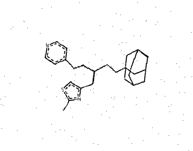 Cc1nc(CC(C[CH]c2ccncc2)CCC23CC4CC(CC(C4)C2)C3)cs1